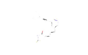 CCOC(C#Cc1cncc2cc(C=C3SC(=S)NC3=O)oc12)OCC